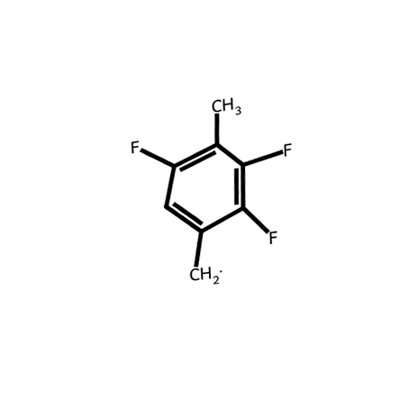 [CH2]c1cc(F)c(C)c(F)c1F